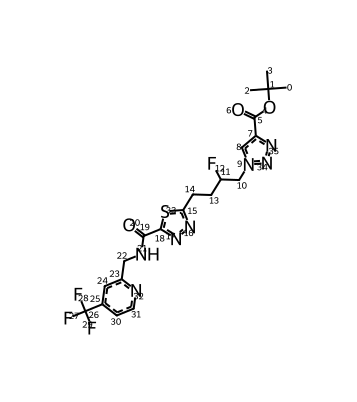 CC(C)(C)OC(=O)c1cn(CC(F)CCc2nnc(C(=O)NCc3cc(C(F)(F)F)ccn3)s2)nn1